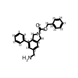 NCc1cc2c(c(-c3ccccc3)c1)CN(C(=O)OCc1ccccc1)C2